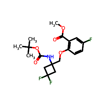 COC(=O)c1cc(F)ccc1OCC1(NC(=O)OC(C)(C)C)CC(F)(F)C1